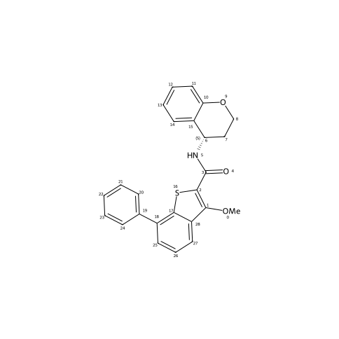 COc1c(C(=O)N[C@H]2CCOc3ccccc32)sc2c(-c3ccccc3)cccc12